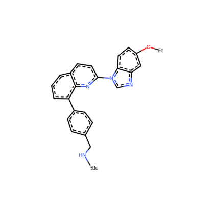 CCOc1ccc2c(c1)ncn2-c1ccc2cccc(-c3ccc(CNC(C)(C)C)cc3)c2n1